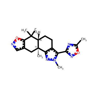 Cc1nc(-c2c3c(nn2C)[C@@]2(C)Cc4cnoc4C(C)(C)[C@@H]2CC3)no1